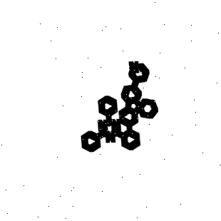 c1ccc(-c2nc(-c3ccccc3)nc(-c3ccccc3-c3ccc4c(c3)C3(CCCCC3)c3cc(-c5cccnc5)ccc3-4)n2)cc1